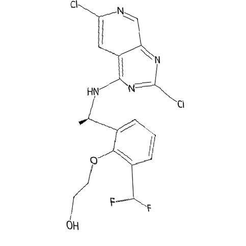 C[C@@H](Nc1nc(Cl)nc2cnc(Cl)cc12)c1cccc(C(F)F)c1OCCO